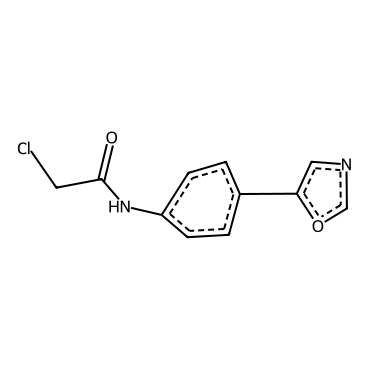 O=C(CCl)Nc1ccc(-c2cnco2)cc1